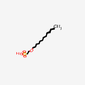 CCCCCCCCCCCCCOCCS(=O)(=O)O